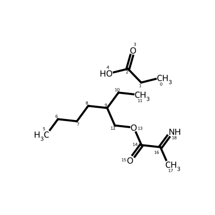 CCC(=O)O.CCCCC(CC)COC(=O)C(C)=N